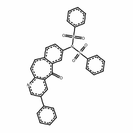 O=c1c2cc(N(S(=O)(=O)c3ccccc3)S(=O)(=O)c3ccccc3)ccc2ccc2ncc(-c3ccccc3)cc12